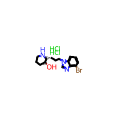 Cl.Cl.O[C@H]1CCCN[C@@H]1CCCn1cnc2c(Br)cccc21